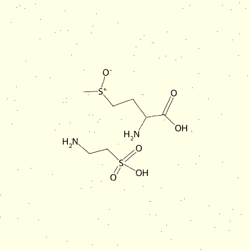 C[S+]([O-])CCC(N)C(=O)O.NCCS(=O)(=O)O